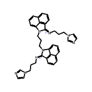 c1cc2c3c(cccc3c1)N(CCCN1/C(=N/CCCn3ccnc3)c3cccc4cccc1c34)/C2=N/CCCn1ccnc1